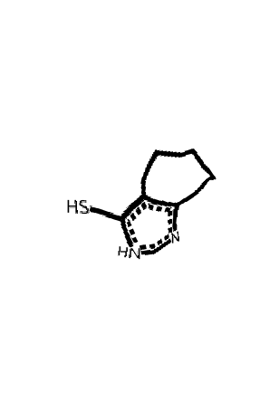 Sc1[nH]nc2c1CCC2